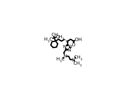 CN(C)CCN(C)Cc1noc([C@H](CCCC2(C(C)(C)C)CCCCC2)CC(=O)O)n1